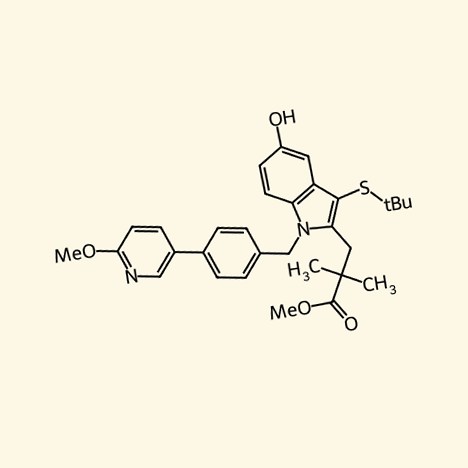 COC(=O)C(C)(C)Cc1c(SC(C)(C)C)c2cc(O)ccc2n1Cc1ccc(-c2ccc(OC)nc2)cc1